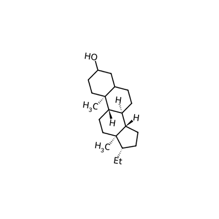 CC[C@H]1CC[C@H]2[C@@H]3CCC4CC(O)CC[C@]4(C)[C@H]3CC[C@]12C